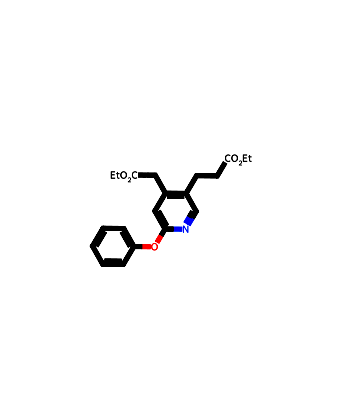 CCOC(=O)CCc1cnc(Oc2ccccc2)cc1CC(=O)OCC